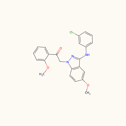 COc1ccc2c(c1)c(Nc1cccc(Cl)c1)nn2CC(=O)c1ccccc1OC